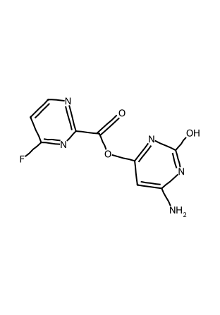 Nc1cc(OC(=O)c2nccc(F)n2)nc(O)n1